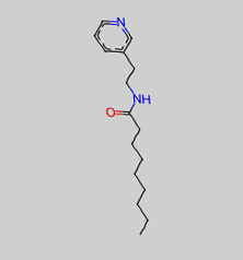 CCCCCCCCC(=O)NCCc1cccnc1